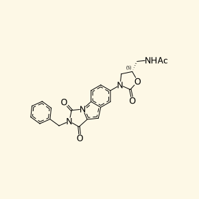 CC(=O)NC[C@H]1CN(c2ccc3c(c2)cc2n3C(=O)N(Cc3ccccc3)C2=O)C(=O)O1